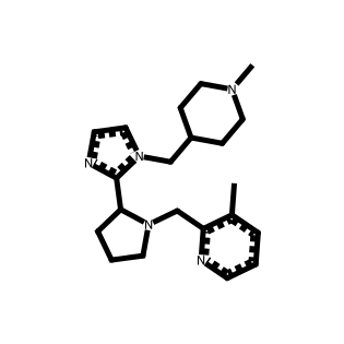 Cc1cccnc1CN1CCCC1c1nccn1CC1CCN(C)CC1